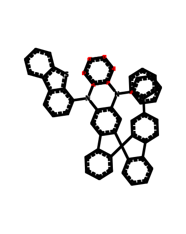 c1ccc(-c2ccc3c(c2)C2(c4ccccc4-3)c3ccccc3-c3cc(N(c4ccccc4)c4cccc5c4sc4ccccc45)c(N(c4ccccc4)c4ccccc4)cc32)cc1